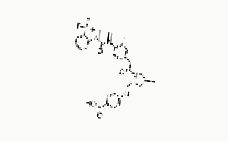 Cc1cc(CC(=O)N2C[C@@H](F)C[C@H]2COc2ccc(C(=O)O)cc2)ccc1NC(=O)Nc1ccccc1C(F)(F)F